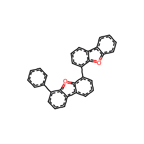 c1ccc(-c2cccc3c2oc2c(-c4cccc5c4oc4ccccc45)cccc23)cc1